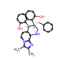 Cc1nc2c3c(ccn2c1C)[C@@H](c1ccccc1O)[C@@](Cc1ccccc1)(c1ccccc1O)CN3